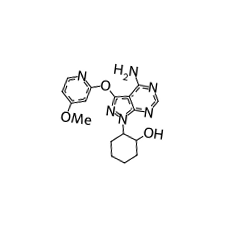 COc1ccnc(Oc2nn(C3CCCCC3O)c3ncnc(N)c23)c1